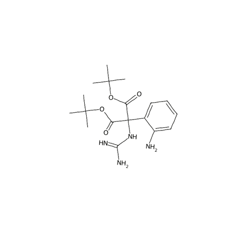 CC(C)(C)OC(=O)C(NC(=N)N)(C(=O)OC(C)(C)C)c1ccccc1N